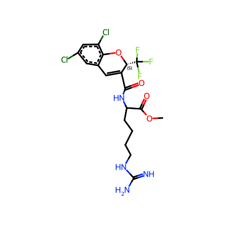 COC(=O)C(CCCCNC(=N)N)NC(=O)C1=Cc2cc(Cl)cc(Cl)c2O[C@@H]1C(F)(F)F